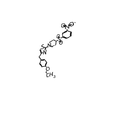 CCOc1ccc(Cc2csc(N3CCC(S(=O)(=O)c4cccc([N+](=O)[O-])c4)CC3)n2)cc1